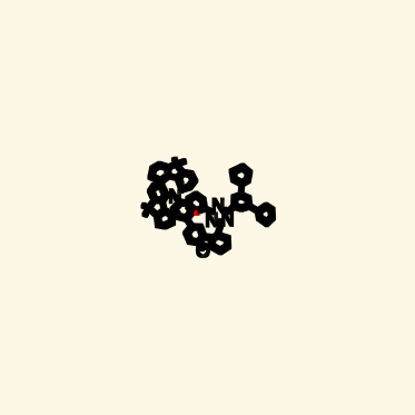 CC1(C)c2ccccc2-c2c(N(c3ccc(-c4ccc5oc6cccc(-c7nc(-c8ccccc8)nc(-c8cc(-c9ccccc9)cc(-c9ccccc9)c8)n7)c6c5c4)cc3)c3cccc4c3-c3ccccc3C4(C)C)cccc21